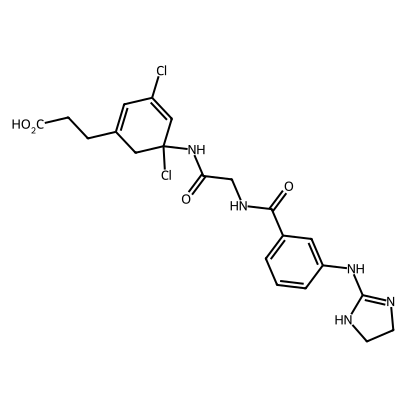 O=C(O)CCC1=CC(Cl)=CC(Cl)(NC(=O)CNC(=O)c2cccc(NC3=NCCN3)c2)C1